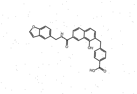 O=C(O)c1ccc(Cc2ccc3ccc(C(=O)NCc4ccc5occc5c4)cc3c2O)cc1